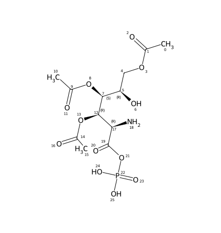 CC(=O)OC[C@@H](O)[C@H](OC(C)=O)[C@H](OC(C)=O)[C@@H](N)C(=O)OP(=O)(O)O